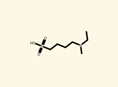 CCN(C)CCCCS(=O)(=O)O